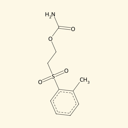 Cc1ccccc1S(=O)(=O)CCOC(N)=O